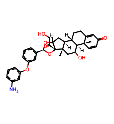 C[C@]12C=CC(=O)C=C1CC[C@@H]1[C@@H]2[C@@H](O)C[C@@]2(C)[C@H]1C[C@H]1O[C@H](c3cccc(Oc4cccc(N)c4)c3)O[C@]12C(=O)CO